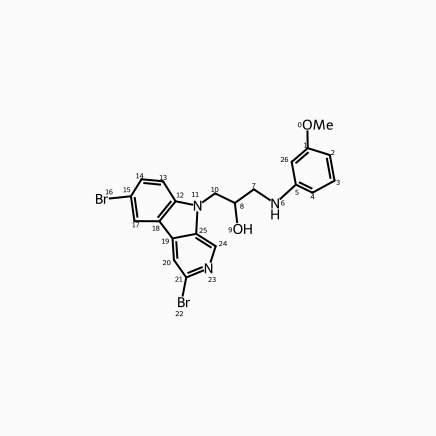 COc1cccc(NCC(O)Cn2c3ccc(Br)cc3c3cc(Br)ncc32)c1